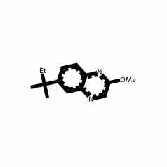 CCC(C)(C)c1ccc2nc(OC)cnc2c1